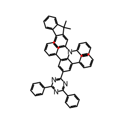 CC1(C)c2ccccc2-c2ccc(N(c3ccccc3)c3c(-c4ccccc4)cc(-c4nc(-c5ccccc5)nc(-c5ccccc5)n4)cc3-c3ccccc3)cc21